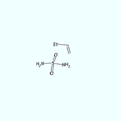 C=CCC.NS(N)(=O)=O